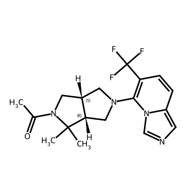 CC(=O)N1C[C@@H]2CN(c3c(C(F)(F)F)ccc4cncn34)C[C@@H]2C1(C)C